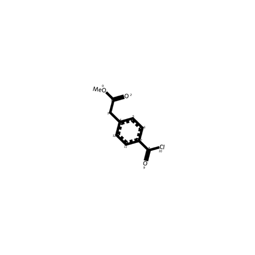 COC(=O)Cc1ccc(C(=O)Cl)cc1